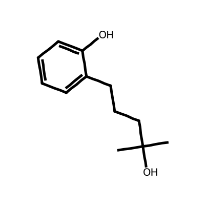 CC(C)(O)CCCc1ccccc1O